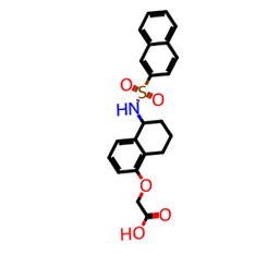 O=C(O)COc1cccc2c1CCCC2NS(=O)(=O)c1ccc2ccccc2c1